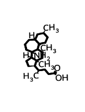 C[C@@H]1CC[C@]2(C)C3CC[C@]4(C)[C@@H]([C@H](C)CCC(=O)O)CC[C@H]4[C@]3(N)CCC[C@@H]2C1